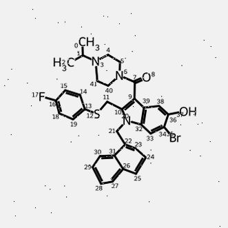 CC(C)N1CCN(C(=O)c2c(CSc3ccc(F)cc3)n(Cc3cccc4ccccc34)c3cc(Br)c(O)cc23)CC1